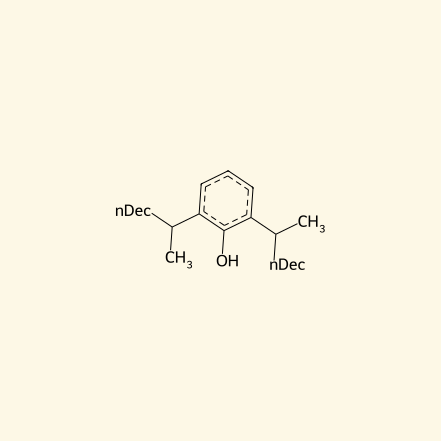 CCCCCCCCCCC(C)c1cccc(C(C)CCCCCCCCCC)c1O